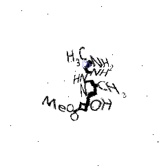 COC(=O)C1CC(O)(c2cc(C)cc(NC(=N)/C=C(/C)N)n2)C1